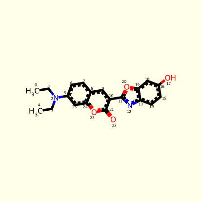 CCN(CC)c1ccc2cc(-c3nc4ccc(O)cc4o3)c(=O)oc2c1